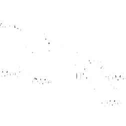 COC(=O)CC(NC(=O)c1ccc(C2=NC3CCC(OC(C)=O)CC3c3cc(OC)c(OC)cc32)cc1)C(=O)OC